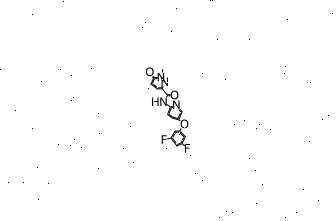 Cn1nc(C(=O)Nc2ccc(Oc3cc(F)cc(F)c3)cn2)ccc1=O